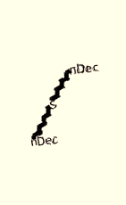 CCCCCCCCCCCCCCCCCSCCCCCCCCCCCCCCCCC